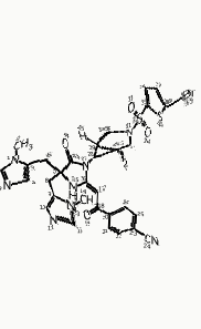 Cn1cncc1CC1(Cc2cncn2C)N/C(=C\C(=O)c2ccc(C#N)cc2)N([C@H]2[C@@H]3CN(S(=O)(=O)c4ccc(Br)s4)C[C@@H]32)C1=O